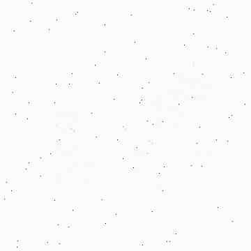 COCCN(CCCCc1ccc2c(n1)N(C(=O)OC(C)(C)C)CCC2)CCN(C(=O)OC(C)(C)C)[C@@H](CC(=O)OC)c1ccc(-c2ccc(O)c3ccccc23)cc1